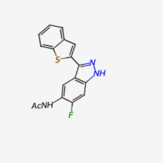 CC(=O)Nc1cc2c(-c3cc4ccccc4s3)n[nH]c2cc1F